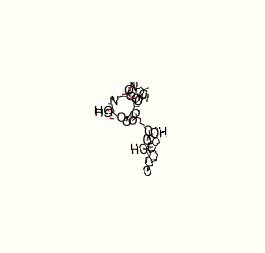 CC[C@H]1OC(=O)[C@H](C)[C@@H](OC(=O)CCCCOC(=O)[C@@]2(O)[C@H](C)CC3C4CCC5=CC(=O)C=C[C@]5(C)[C@@]4(F)[C@@H](O)C[C@@]32C)[C@H](C)[C@@H](O[C@@H]2O[C@H](C)C[C@@H](N(C)C)[C@H]2OC(C)=O)[C@](C)(O)C[C@@H](C)CN(C)[C@H](C)[C@@H](O)[C@]1(C)O